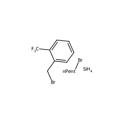 CCCCCBr.FC(F)(F)c1ccccc1CBr.[SiH4]